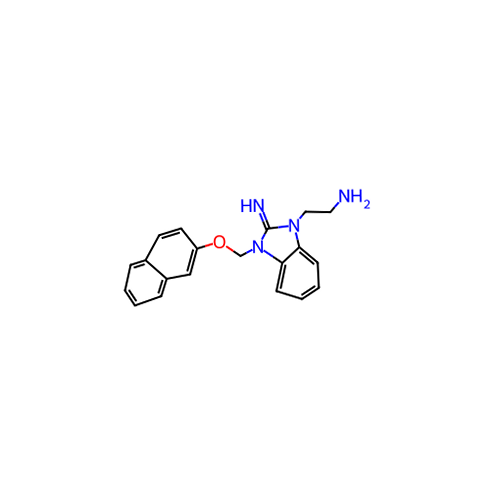 N=c1n(CCN)c2ccccc2n1COc1ccc2ccccc2c1